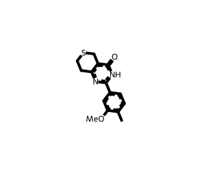 COc1cc(-c2nc3c(c(=O)[nH]2)CSCC3)ccc1C